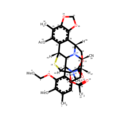 COCOc1c(OC)c(C)cc2c1[C@@H]1C3[C@@H]4SC[C@H](OC(=O)C(F)(F)F)C(=O)OC[C@@H](c5c6c(c(C)c(OC(C)=O)c54)OCO6)N3[C@@H](C#N)[C@H](C2)N1C